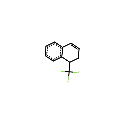 FC(F)(F)[C]1CC=Cc2ccccc21